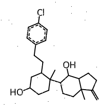 C=C1CCC2C(O)C(C3(C)CCC(O)CC3CCc3ccc(Cl)cc3)CCC12C